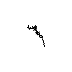 CCCCCCCCc1ccc(-c2cnc(OCC(OC(=O)CCOC(C)CC)C(F)(F)F)nc2)cc1